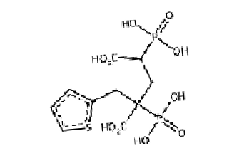 O=C(O)C(CC(Cc1cccs1)(C(=O)O)P(=O)(O)O)P(=O)(O)O